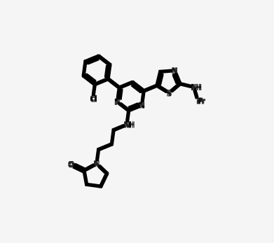 CC(C)Nc1ncc(-c2cc(-c3ccccc3Cl)nc(NCCCN3CCCC3=O)n2)s1